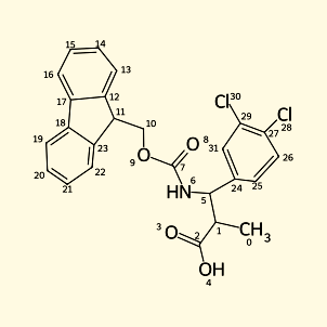 CC(C(=O)O)C(NC(=O)OCC1c2ccccc2-c2ccccc21)c1ccc(Cl)c(Cl)c1